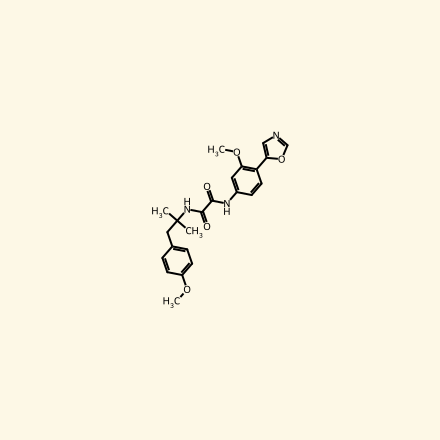 COc1ccc(CC(C)(C)NC(=O)C(=O)Nc2ccc(-c3cnco3)c(OC)c2)cc1